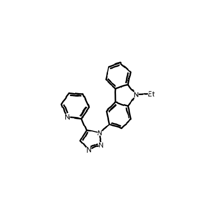 CCn1c2ccccc2c2cc(-n3nncc3-c3ccccn3)ccc21